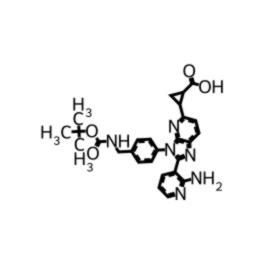 CC(C)(C)OC(=O)NCc1ccc(-n2c(-c3cccnc3N)nc3ccc(C4CC4C(=O)O)nc32)cc1